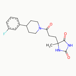 CC1(CCC(=O)N2CCC(c3cccc(F)c3)CC2)NC(=O)NC1=O